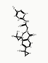 O=C(CN1C[C@]2(CC2(F)F)c2cc(C3(F)CC3)ccc2C1=O)Nc1ncc(F)cn1